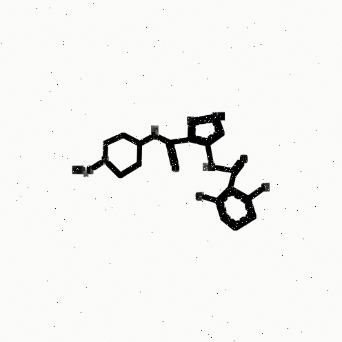 O=C(NC1CCN(C(=O)O)CC1)c1n[nH]cc1NC(=O)c1c(Cl)cccc1Cl